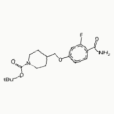 CC(C)(C)OC(=O)N1CCC(COc2ccc(C(N)=O)c(F)c2)CC1